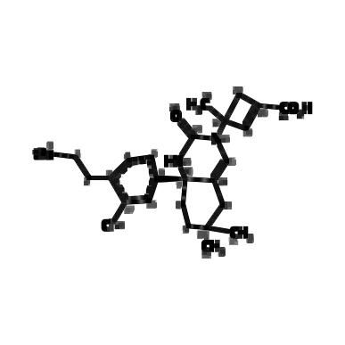 CC(C)(C)CCc1ccc([C@]23CCC(C)(C)CC2=CN(C2(C)C=C(C(=O)O)C2)C(=O)N3)cc1Cl